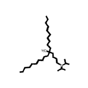 CCCCCCCCCCC(O)(CCCCCCCCCC)CCCCN(C(C)C)C(C)C